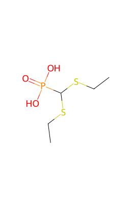 CCSC(SCC)P(=O)(O)O